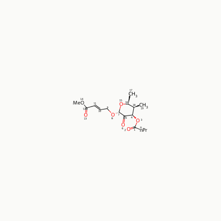 CCCC(=O)O[C@H]1C(=O)[C@H](OC/C=C/C(=O)OC)O[C@@H](C)[C@H]1C